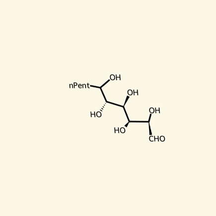 CCCCCC(O)[C@@H](O)[C@@H](O)[C@H](O)[C@@H](O)C=O